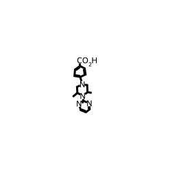 CC1CN(c2ccc(C(=O)O)cc2)CC(C)N1c1ncccn1